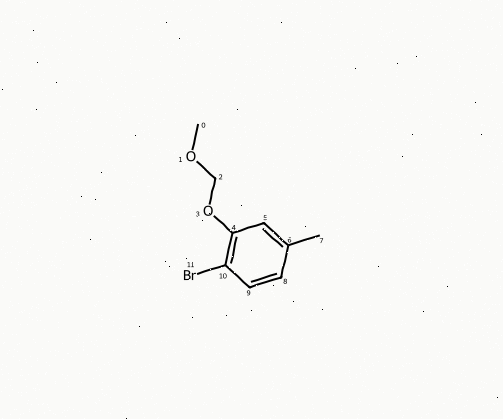 COCOc1cc(C)ccc1Br